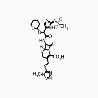 Cn1nnnc1SCC1=C(C(=O)O)N2C(=O)C(NC(=O)C(OC3CCCCO3)c3csc(=NS(C)(=O)=O)[nH]3)[C@@H]2SC1